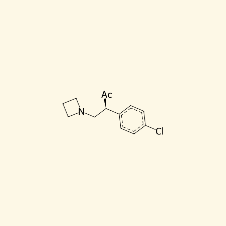 CC(=O)[C@H](CN1CCC1)c1ccc(Cl)cc1